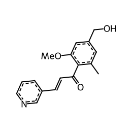 COc1cc(CO)cc(C)c1C(=O)/C=C/c1cccnc1